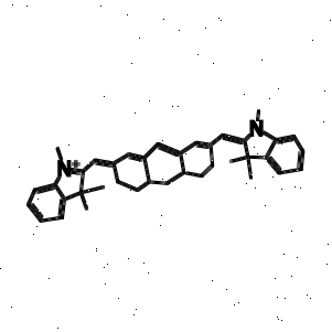 CN1/C(=C/C2=CC3=CC4=C/C(=C/C5=[N+](C)c6ccccc6C5(C)C)CCC4CC3CC2)C(C)(C)c2ccccc21